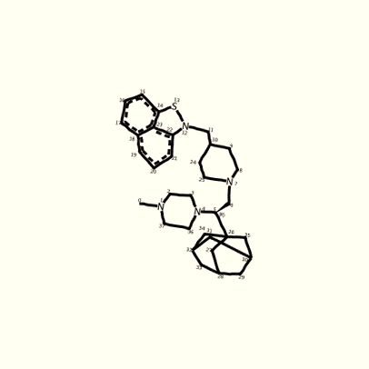 CN1CCN([C@@H](CN2CCC(CN3Sc4cccc5cccc3c45)CC2)C23CC4CC(CC(C4)C2)C3)CC1